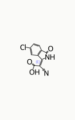 N#C/C(C(=O)O)=C1\NC(=O)c2ccc(Cl)cc21